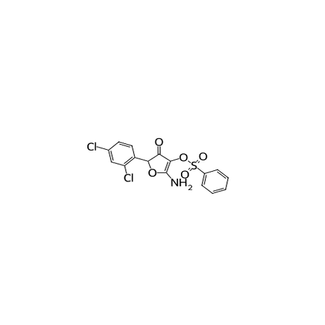 NC1=C(OS(=O)(=O)c2ccccc2)C(=O)C(c2ccc(Cl)cc2Cl)O1